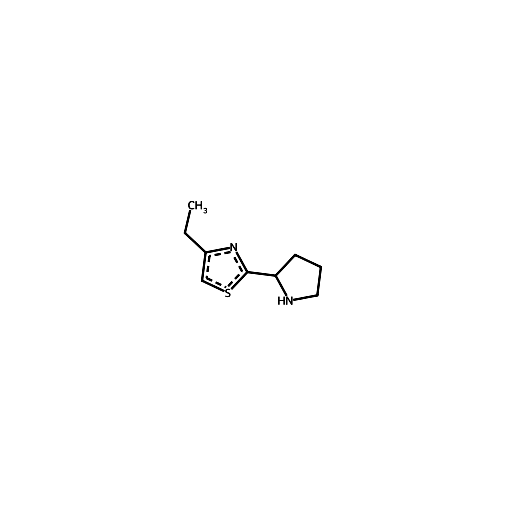 CCc1csc(C2CCCN2)n1